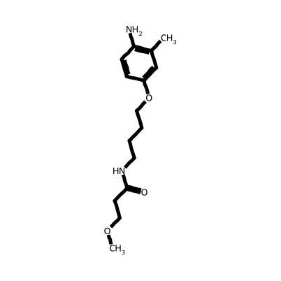 COCCC(=O)NCCCCOc1ccc(N)c(C)c1